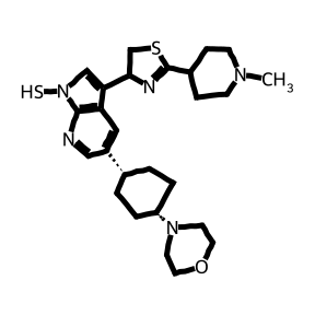 CN1CCC(C2=NC(c3cn(S)c4ncc([C@H]5CC[C@@H](N6CCOCC6)CC5)cc34)CS2)CC1